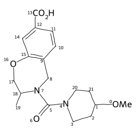 COC1CCN(C(=O)N2Cc3ccc(C(=O)O)cc3OCC2C)CC1